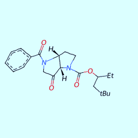 CCC(CC(C)(C)C)OC(=O)N1CC[C@@H]2[C@H]1C(=O)CN2C(=O)c1ccccc1